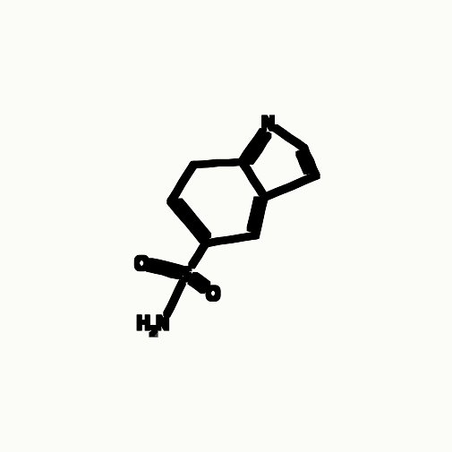 NS(=O)(=O)C1=CCC2=NC=CC2=C1